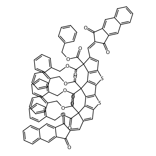 O=C1C(=CC2=Cc3sc4c(c3C2(C(=O)OCc2ccccc2)C(=O)OCc2ccccc2)C(C(=O)OCc2ccccc2)(C(=O)OCc2ccccc2)c2c-4sc3c2C(C(=O)OCc2ccccc2)(C(=O)OCc2ccccc2)C(C=C2C(=O)c4cc5ccccc5cc4C2=O)=C3)C(=O)c2cc3ccccc3cc21